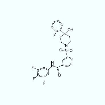 O=C(Nc1cc(F)c(F)c(F)c1)c1cccc(S(=O)(=O)N2CCC(O)(c3ccccc3F)CC2)c1